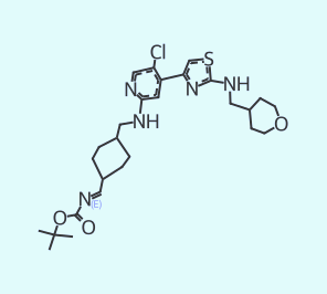 CC(C)(C)OC(=O)/N=C/C1CCC(CNc2cc(-c3csc(NCC4CCOCC4)n3)c(Cl)cn2)CC1